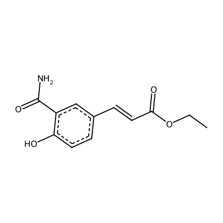 CCOC(=O)/C=C/c1ccc(O)c(C(N)=O)c1